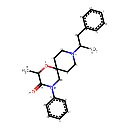 CC1OC2(CCN(C(Cc3ccccc3)[N+](=O)[O-])CC2)CN(c2ccccc2)C1=O